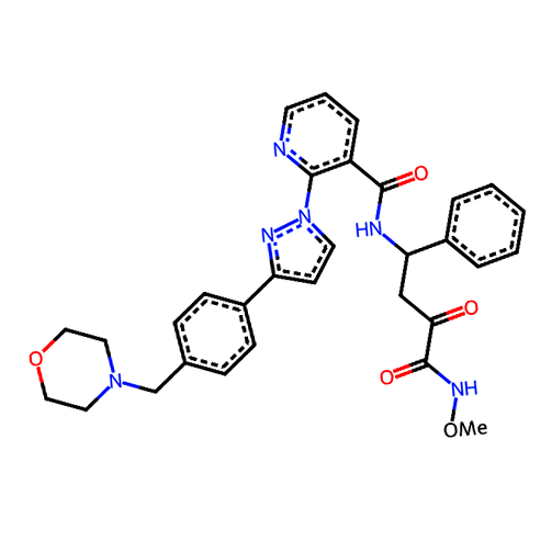 CONC(=O)C(=O)CC(NC(=O)c1cccnc1-n1ccc(-c2ccc(CN3CCOCC3)cc2)n1)c1ccccc1